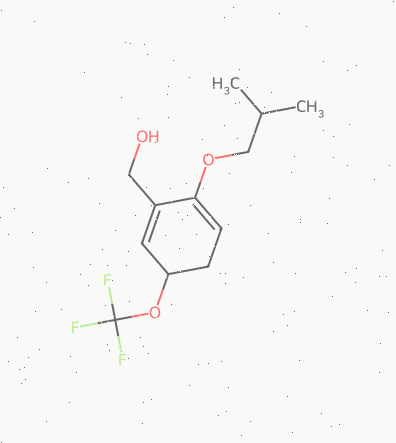 CC(C)COC1=CCC(OC(F)(F)F)C=C1CO